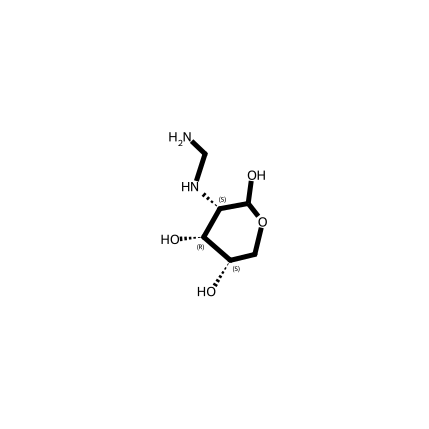 NCN[C@@H]1C(O)OC[C@H](O)[C@@H]1O